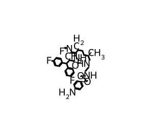 C=C(CC[C@@H](C)CNCCNS(=O)(=O)c1ccc(N)cc1)/C(=C\N=C/F)NC(=O)[C@@H](C)C(c1ccc(F)cc1)c1ccc(F)cc1